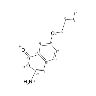 CCCCOc1ccc2cc(N)oc(=O)c2c1